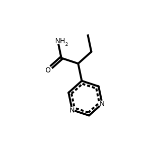 CCC(C(N)=O)c1cncnc1